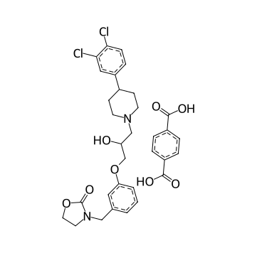 O=C(O)c1ccc(C(=O)O)cc1.O=C1OCCN1Cc1cccc(OCC(O)CN2CCC(c3ccc(Cl)c(Cl)c3)CC2)c1